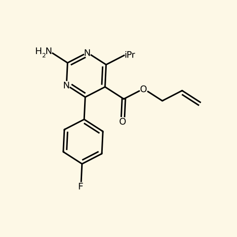 C=CCOC(=O)c1c(-c2ccc(F)cc2)nc(N)nc1C(C)C